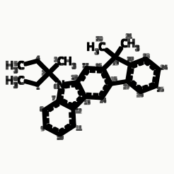 CCC(C)(CC)n1c2ccccc2c2cc3c(cc21)C(C)(C)c1ccccc1-3